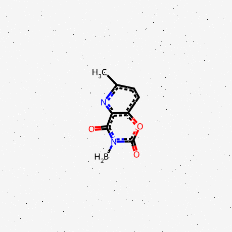 Bn1c(=O)oc2ccc(C)nc2c1=O